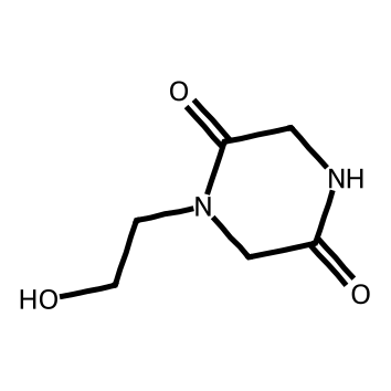 O=C1CN(CCO)C(=O)CN1